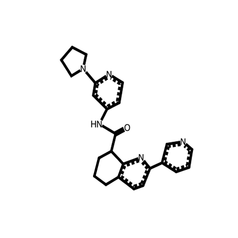 O=C(Nc1ccnc(N2CCCC2)c1)C1CCCc2ccc(-c3cccnc3)nc21